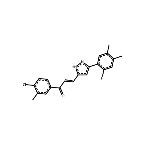 Cc1cc(F)c(-c2cc(/C=C/C(=O)c3ccc(Cl)c(C)c3)[nH]n2)cc1C